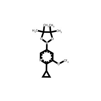 CC1(C)OB(c2cnc(C3CC3)c(OC(F)(F)F)c2)OC1(C)C